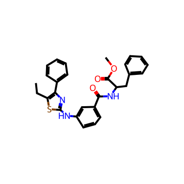 CCc1sc(Nc2cccc(C(=O)NC(Cc3ccccc3)C(=O)OC)c2)nc1-c1ccccc1